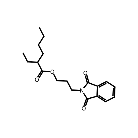 CCCCC(CC)C(=O)OCCCN1C(=O)c2ccccc2C1=O